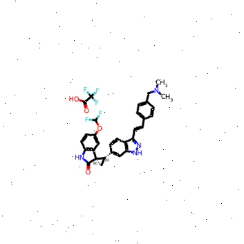 CN(C)Cc1ccc(C=Cc2n[nH]c3cc([C@@H]4C[C@@]45C(=O)Nc4ccc(OC(F)F)cc45)ccc23)cc1.O=C(O)C(F)(F)F